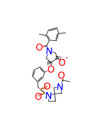 CO[C@@H]1CN(C(=O)c2cc(C)ccc2C)C[C@H]1Oc1cccc(CS(=O)(=O)N2CCC23CN(C(C)=O)C3)c1